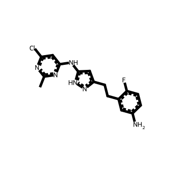 Cc1nc(Cl)cc(Nc2cc(CCc3cc(N)ccc3F)n[nH]2)n1